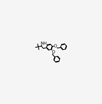 CC(C)(C)C(N)Cc1ccc(OCc2ccccc2)c(OCc2ccccc2)c1